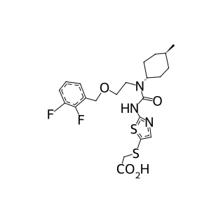 C[C@H]1CC[C@H](N(CCOCc2cccc(F)c2F)C(=O)Nc2ncc(SCC(=O)O)s2)CC1